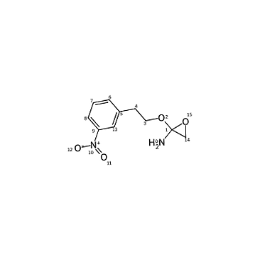 NC1(OCCc2cccc([N+](=O)[O-])c2)CO1